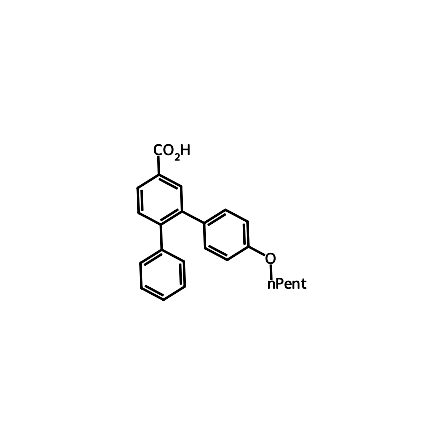 CCCCCOc1ccc(-c2cc(C(=O)O)ccc2-c2ccccc2)cc1